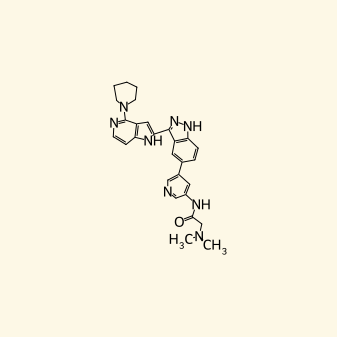 CN(C)CC(=O)Nc1cncc(-c2ccc3[nH]nc(-c4cc5c(N6CCCCC6)nccc5[nH]4)c3c2)c1